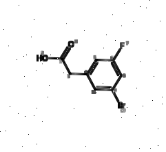 O=C(O)Cc1cc(F)cc(Br)c1